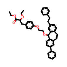 CCOC(=O)C(Cc1ccc(OCCOC2c3ccc(-c4ccccc4)cc3C=Cc3ccc(CCc4ccccc4)cc32)cc1)OCC